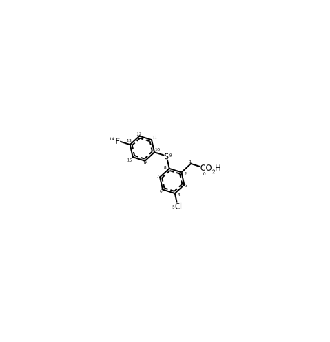 O=C(O)Cc1cc(Cl)ccc1Sc1ccc(F)cc1